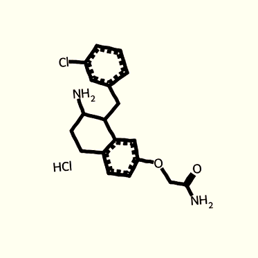 Cl.NC(=O)COc1ccc2c(c1)C(Cc1cccc(Cl)c1)C(N)CC2